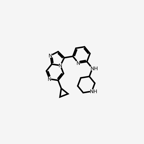 c1cc(NC2CCCNC2)nc(-c2cnc3cnc(C4CC4)cn23)c1